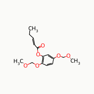 CC/C=C/C(=O)Oc1cc(OCOC)ccc1OCOC